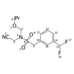 CC(C)OCN(CC#N)S(=O)(=O)Cc1cccc(C(F)F)c1